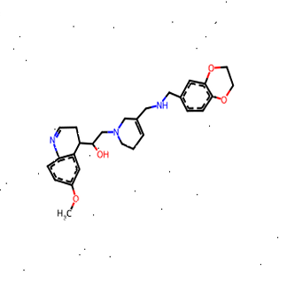 COc1ccc2c(c1)C(C(O)CN1CCC=C(CNCc3ccc4c(c3)OCCO4)C1)CC=N2